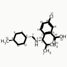 CC(C)[C@H](NC[C@H]1CC[C@H](C)CC1)c1ccc(Cl)cc1C(=O)O